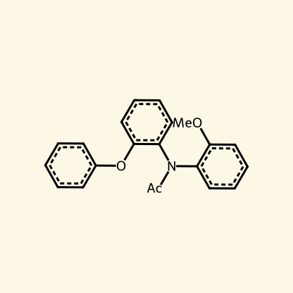 COc1ccccc1N(C(C)=O)c1ccccc1Oc1ccccc1